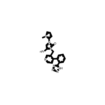 CCCc1cn(-c2cccn2C)c(=O)n1Cc1cnccc1-c1ccccc1-c1nnn[nH]1